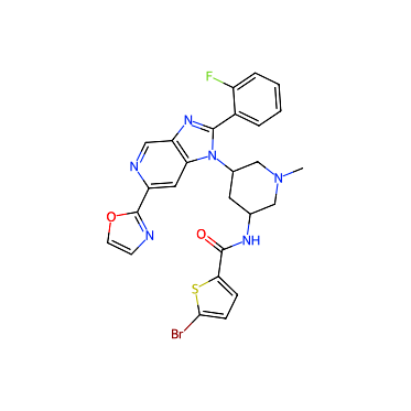 CN1CC(NC(=O)c2ccc(Br)s2)CC(n2c(-c3ccccc3F)nc3cnc(-c4ncco4)cc32)C1